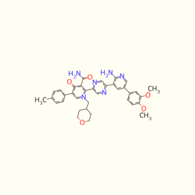 COc1ccc(-c2cnc(N)c(-c3cnc(-c4c(C(N)=O)c(=O)c(-c5ccc(C)cc5)cn4CC4CCOCC4)cn3)c2)cc1OC